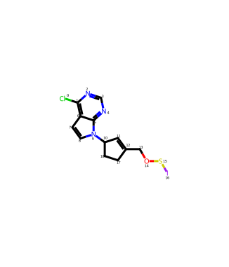 Clc1ncnc2c1ccn2C1C=C(COSI)CC1